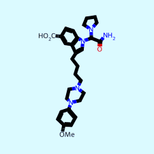 COc1ccc(N2CCN(CCCCc3cn(C(C(N)=O)N4CCCC4)c4ccc(C(=O)O)cc34)CC2)cc1